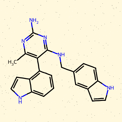 Cc1nc(N)nc(NCc2ccc3[nH]ccc3c2)c1-c1cccc2[nH]ccc12